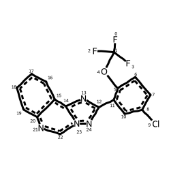 FC(F)(F)Oc1ccc(Cl)cc1-c1nc2c3ccccc3ncn2n1